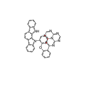 C1=NC2=NC=NC3=NC(c4ccccc4Oc4ccccc4-n4c5ccccc5c5ccc6c7ccccc7[nH]c6c54)=NC(=N1)N23